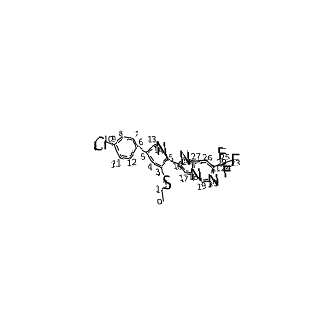 CCSc1cc(-c2ccc(Cl)cc2)cnc1-c1cn2cnc(C(F)(F)F)cc2n1